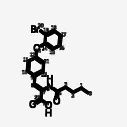 CCCCC(=O)N/C(=C\c1ccc(Oc2ccccc2Br)cc1)C(=O)O